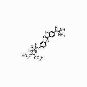 N=C(N)Nc1ccc(C(=O)Oc2ccc(CNS(=O)(=O)NC(CC(=O)O)C(=O)O)cc2)c(F)c1